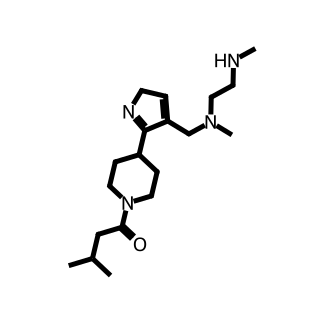 CNCCN(C)CC1=CCN=C1C1CCN(C(=O)CC(C)C)CC1